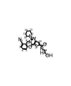 N#Cc1ccccc1Cn1c(N2CCCCC2)nc2cc(C(=O)NCCO)sc2c1=O